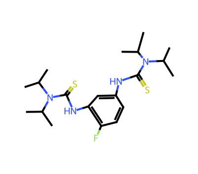 CC(C)N(C(=S)Nc1ccc(F)c(NC(=S)N(C(C)C)C(C)C)c1)C(C)C